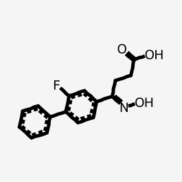 O=C(O)CC/C(=N\O)c1ccc(-c2ccccc2)c(F)c1